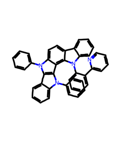 c1ccc(-n2c3ccc4c5ccccc5n(-c5ccccc5-c5ccccn5)c4c3c3c2c2ccccc2n3-c2ccccc2)cc1